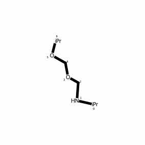 CC(C)NCOCOC(C)C